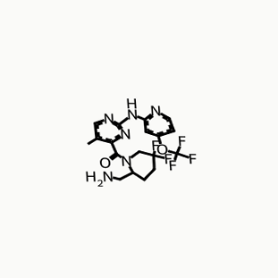 Cc1cnc(Nc2cc(OC(F)(F)F)ccn2)nc1C(=O)N1CC(F)(F)CCC1CN